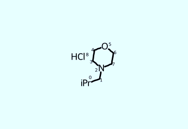 CC(C)CN1CCOCC1.Cl